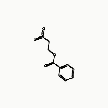 O=C(OCC[SH](=O)=O)c1ccccc1